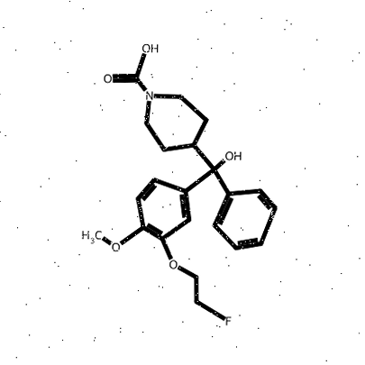 COc1ccc(C(O)(c2ccccc2)C2CCN(C(=O)O)CC2)cc1OCCF